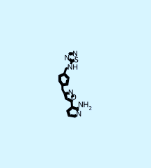 Nc1ncccc1-c1cc(Cc2ccc(CNc3ncns3)cc2)no1